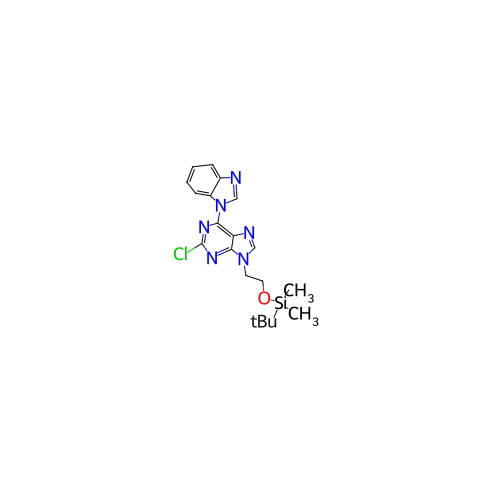 CC(C)(C)[Si](C)(C)OCCn1cnc2c(-n3cnc4ccccc43)nc(Cl)nc21